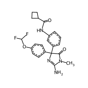 CN1C(=O)C(c2ccc(OC(F)F)cc2)(c2cccc(NC(=O)C3CCC3)c2)N=C1N